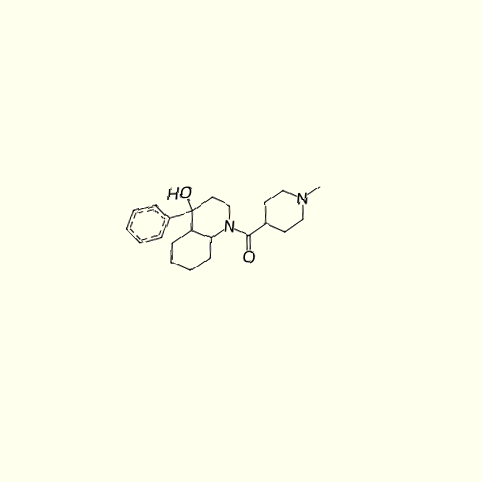 CN1CCC(C(=O)N2CCC(O)(c3ccccc3)C3CCCCC32)CC1